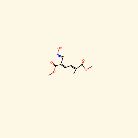 COC(=O)/C(C)=C/C=C(\C=N\O)C(=O)OC